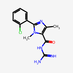 Cc1nc(-c2ccccc2Cl)n(C)c1C(=O)NC(=N)N